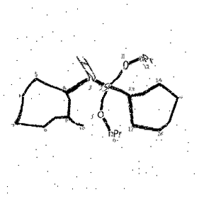 CCCO[Si](NC1CCCCC1C)(OCCC)C1CCCC1